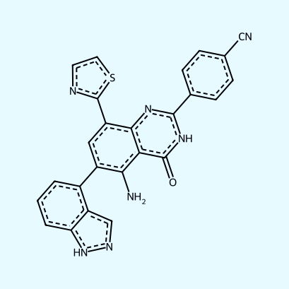 N#Cc1ccc(-c2nc3c(-c4nccs4)cc(-c4cccc5[nH]ncc45)c(N)c3c(=O)[nH]2)cc1